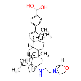 C=C(C)[C@@H]1CC[C@]2(NCCN3C[C@@H]4CC3CO4)CC[C@]3(C)[C@H](CC[C@@H]4[C@@]5(C)CC=C(c6ccc(C(O)O)cc6)C(C)(C)[C@@H]5CC[C@]43C)[C@@H]12